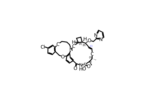 C[C@@H]1[C@@H](C)C/C=C/[C@H](OCc2ncccn2)[C@@H]2CC[C@H]2CN2CCCCc3cc(Cl)ccc3COc3ccc(cc32)C(=O)NS1(=O)=O